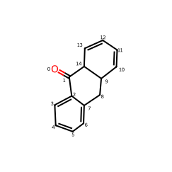 O=C1c2ccccc2CC2C=CC=CC12